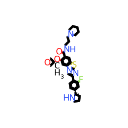 CC1(Oc2cc3c(cc2C(=O)NCCCN2CCCCC2)sc2nc(-c4ccc([C@H]5CCCN5)cc4F)cn23)COC1